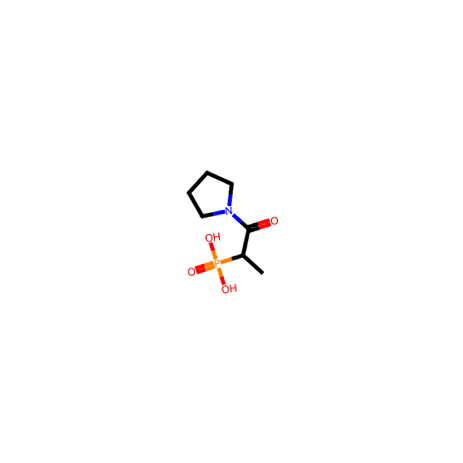 CC(C(=O)N1CCCC1)P(=O)(O)O